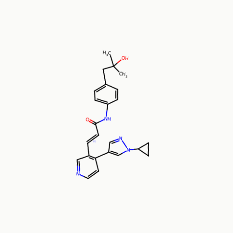 CC(C)(O)Cc1ccc(NC(=O)/C=C/c2cnccc2-c2cnn(C3CC3)c2)cc1